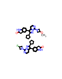 COC1CN(c2nccc3c(-c4ccc5c(c4)CC(=O)N5)c(C4CCCC4)nn23)C1.O=C1Cc2cc(-c3c(C4CCCC4)nn4c(N5CC(F)C5)nccc34)ccc2N1